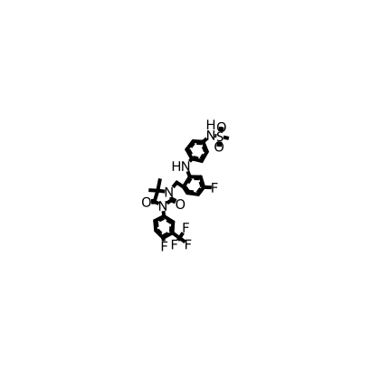 CC1(C)C(=O)N(c2ccc(F)c(C(F)(F)F)c2)C(=O)N1Cc1ccc(F)cc1Nc1ccc(NS(C)(=O)=O)cc1